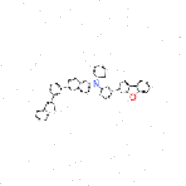 c1ccc(N(c2cccc(-c3ccc4c(c3)oc3ccccc34)c2)c2ccc3cc(-c4cccc(-c5ccc6ccccc6c5)c4)ccc3c2)cc1